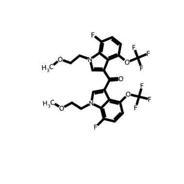 COCCn1cc(C(=O)c2cn(CCOC)c3c(F)ccc(OC(F)(F)F)c23)c2c(OC(F)(F)F)ccc(F)c21